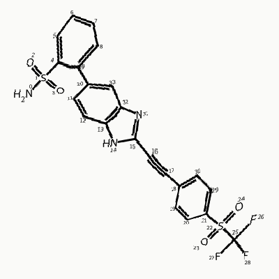 NS(=O)(=O)c1ccccc1-c1ccc2[nH]c(C#Cc3ccc(S(=O)(=O)C(F)(F)F)cc3)nc2c1